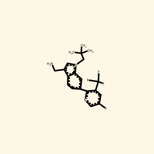 CC(C)(C)Cn1cc(CN)c2ccc(-c3ncc(F)cc3C(F)(F)F)cc21